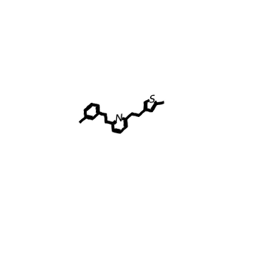 Cc1cccc(CCc2cccc(CCc3csc(C)c3)n2)c1